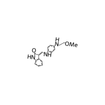 COCCNc1ccc(N/C=C2/C(=O)Nc3ccccc32)cc1